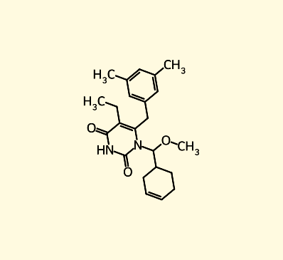 CCc1c(Cc2cc(C)cc(C)c2)n(C(OC)C2CC=CCC2)c(=O)[nH]c1=O